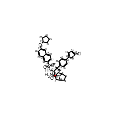 NC1CC2CCC(C1)N2C(=O)[C@@H](NS(=O)(=O)c1ccc2cc(OC3CCCC3)ccc2c1)C(F)(F)c1ccc(-c2ccc(Cl)s2)cc1